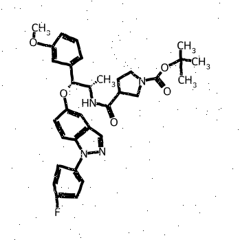 COc1cccc([C@@H](Oc2ccc3c(cnn3-c3ccc(F)cc3)c2)[C@H](C)NC(=O)C2CCN(C(=O)OC(C)(C)C)C2)c1